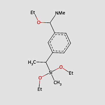 CCOC(NC)c1cccc(C(C)[Si](C)(OCC)OCC)c1